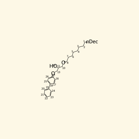 CCCCCCCCCCCCCCCCCCOCC(O)COc1ccc(-c2ccccc2)cc1